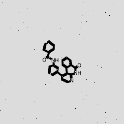 O=C(Nc1cccc(-c2ccnc3[nH]c(=O)c4ccccc4c23)c1)c1ccccc1